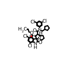 C=CCOC(=O)[C@@H]1C(C(=O)N(CC2CCCC2)c2cc(Cl)cc(Cl)c2)[C@@H]2CCCN2C12C(=O)Nc1c(Cl)cc(Cl)cc12